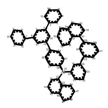 c1ccc(-c2cc(-c3ccccc3)cc(-c3ccc(N(c4cccc(-c5cccc(-c6cccc7ccccc67)c5)c4)c4cccc5ccccc45)cc3)c2)cc1